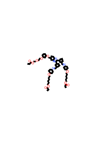 C=CC(=O)OCCCCCCOc1ccc(/N=C/c2cccc(-c3nc4ccc(COc5cccc(OCCOCCOC(=O)C=C)c5)cc4nc3-c3cccc(/C=N/c4ccc(OCCCCCCOC(=O)C=C)cc4)c3)c2)cc1